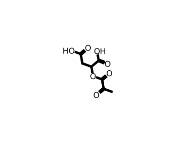 CC(=O)C(=O)OC(CC(=O)O)C(=O)O